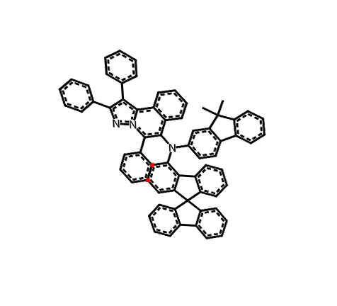 CC1(C)c2ccccc2-c2ccc(N(c3cccc4c3-c3ccccc3C43c4ccccc4-c4ccccc43)c3c(-c4ccccc4)n4nc(-c5ccccc5)c(-c5ccccc5)c4c4ccccc34)cc21